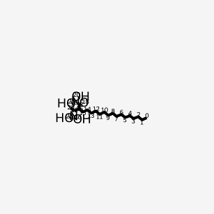 CCCCCCCCCCCCCCCCC(C(=O)N(O)O)C(C)N(O)O